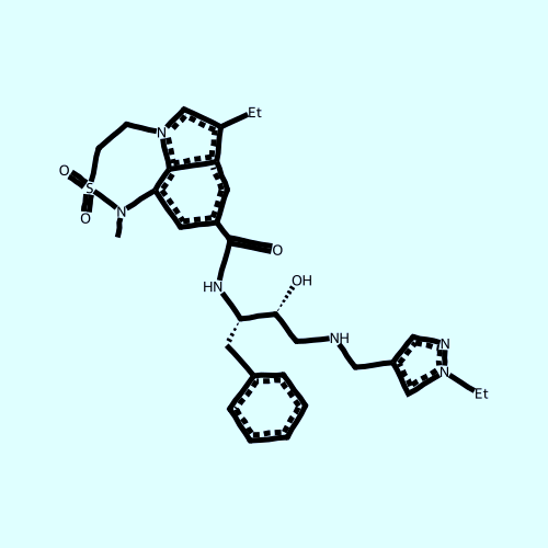 CCc1cn2c3c(cc(C(=O)N[C@@H](Cc4ccccc4)[C@H](O)CNCc4cnn(CC)c4)cc13)N(C)S(=O)(=O)CC2